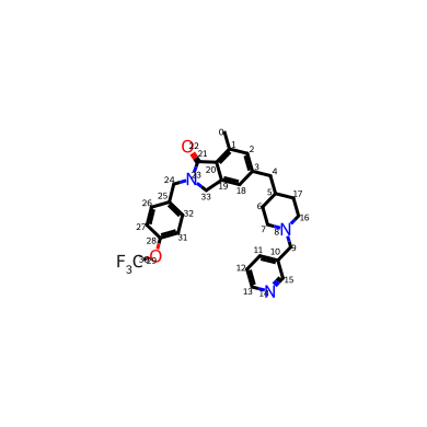 Cc1cc(CC2CCN(Cc3cccnc3)CC2)cc2c1C(=O)N(Cc1ccc(OC(F)(F)F)cc1)C2